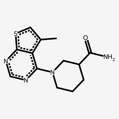 Cc1csc2ncnc(N3CCCC(C(N)=O)C3)c12